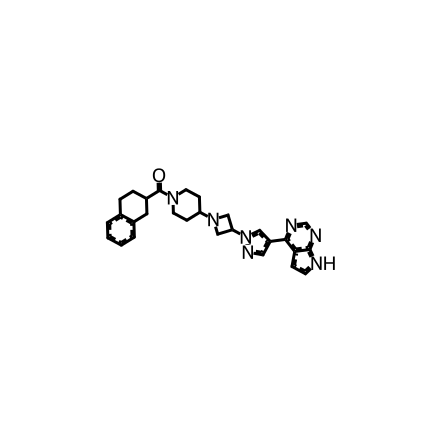 O=C(C1CCc2ccccc2C1)N1CCC(N2CC(n3cc(-c4ncnc5[nH]ccc45)cn3)C2)CC1